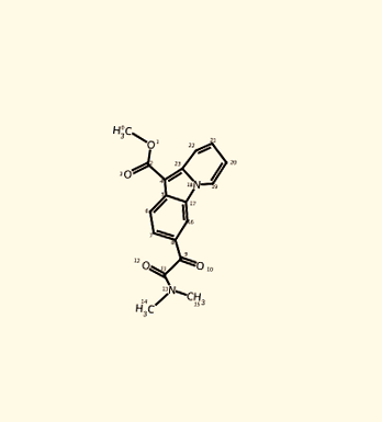 COC(=O)c1c2ccc(C(=O)C(=O)N(C)C)cc2n2ccccc12